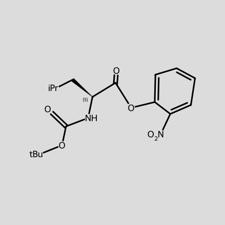 CC(C)C[C@H](NC(=O)OC(C)(C)C)C(=O)Oc1ccccc1[N+](=O)[O-]